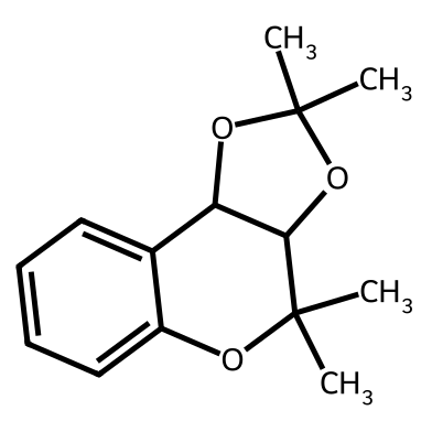 CC1(C)OC2c3ccccc3OC(C)(C)C2O1